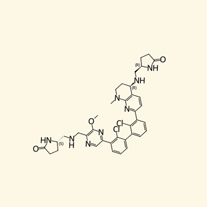 COc1nc(-c2cccc(-c3cccc(-c4ccc5c(n4)N(C)CC[C@H]5NC[C@H]4CCC(=O)N4)c3Cl)c2Cl)cnc1CNC[C@@H]1CCC(=O)N1